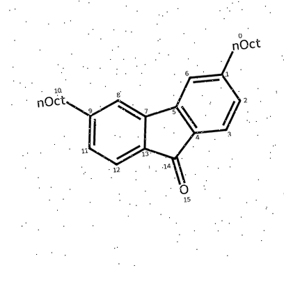 CCCCCCCCc1ccc2c(c1)-c1cc(CCCCCCCC)ccc1C2=O